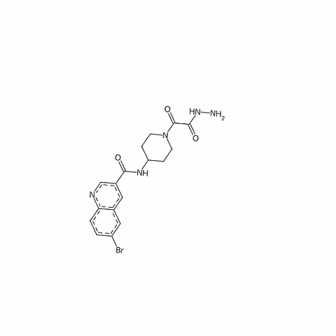 NNC(=O)C(=O)N1CCC(NC(=O)c2cnc3ccc(Br)cc3c2)CC1